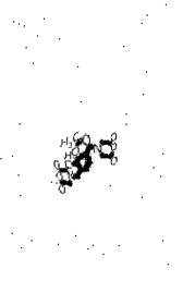 CC(=O)Oc1c(CN2CC(=O)OC(=O)C2)ccc(CN2CC(=O)OC(=O)C2)c1C